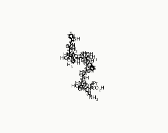 CC(C)C[C@H](NC(=O)[C@H](CCCCN)NC(=O)[C@@H](NC(=O)CNC(=O)CNC(=O)CNC(=O)[C@H](Cc1ccccc1)NC(=O)[C@@H](NC(=O)[C@H](CS)NC(=O)[C@@H]1CCCN1C(=O)[C@@H](NC(=O)CNC(=O)[C@@H](N)Cc1c[nH]c2ccccc12)[C@@H](C)O)[C@@H](C)O)[C@@H](C)O)C(=O)O